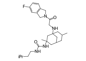 CC(C)CCNC(=O)NC1(C)CC2CC(C)CC(NCC(=O)N3Cc4ccc(F)cc4C3)(C2)C1